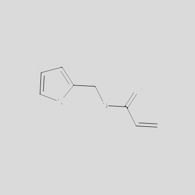 C=CC(=O)NCc1ccc[nH]1